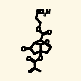 C=C(C)C(=O)OC12CC(=O)C3C(C(=O)OCCS(=O)(=O)O)C(C1)OC32